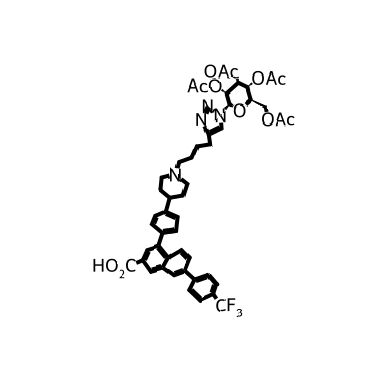 CC(=O)OC[C@H]1O[C@@H](n2cc(CCCCN3CCC(c4ccc(-c5cc(C(=O)O)cc6cc(-c7ccc(C(F)(F)F)cc7)ccc56)cc4)CC3)nn2)[C@H](OC(C)=O)[C@@H](OC(C)=O)[C@@H]1OC(C)=O